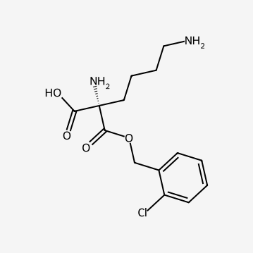 NCCCC[C@](N)(C(=O)O)C(=O)OCc1ccccc1Cl